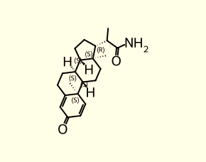 CC(C(N)=O)[C@H]1CC[C@H]2[C@@H]3CCC4=CC(=O)C=C[C@]4(C)[C@H]3CC[C@]12C